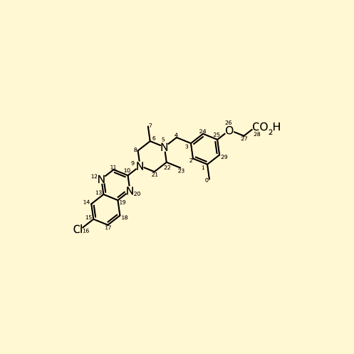 Cc1cc(CN2C(C)CN(c3cnc4cc(Cl)ccc4n3)CC2C)cc(OCC(=O)O)c1